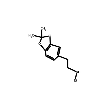 CCNCCc1ccc2c(c1)OC(C)(C)O2